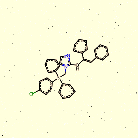 Clc1ccc([Si](Cn2ccnc2BC(=Cc2ccccc2)c2ccccc2)(c2ccccc2)c2ccccc2)cc1